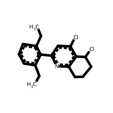 CCc1cccc(CC)c1-c1cc(Cl)c2c(n1)CCCC2Cl